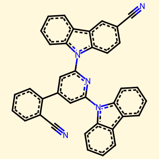 N#Cc1ccc2c(c1)c1ccccc1n2-c1cc(-c2ccccc2C#N)cc(-n2c3ccccc3c3ccccc32)n1